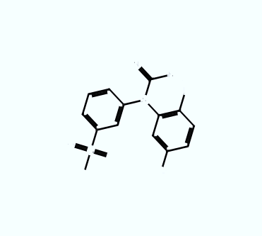 CS(=O)(=O)c1cccc(N(C(=N)N)c2cc(Br)ccc2Br)c1